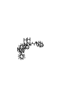 O=C(NCCCCN1CCOCC1)Nc1ccc2ncc(-c3ccccc3)nc2n1